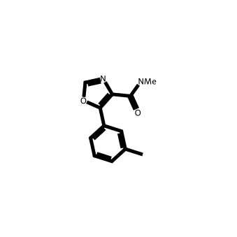 CNC(=O)c1ncoc1-c1cccc(C)c1